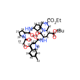 CCOC(=O)N1CCN(C(=O)C(CCC(=O)OC(C)(C)C)NC(=O)c2cc(O[C@H](C)C(=O)N3CCCC3C(=O)NC3CCCC3)c3ccc(C)cc3n2)CC1